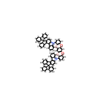 c1ccc(C2(c3ccccc3)c3ccccc3-c3c2ccc2c3c3cccc4c3n2-c2cccc3c2B4c2cc4c(cc2O3)Oc2cccc3c2B4c2cccc4c5c6c(ccc5n-3c24)C(c2ccccc2)(c2ccccc2)c2ccccc2-6)cc1